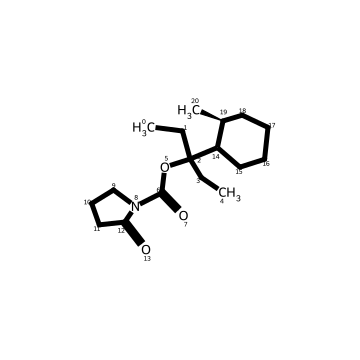 CCC(CC)(OC(=O)N1CCCC1=O)C1CCCC[C@@H]1C